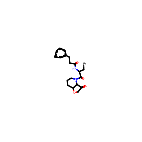 CC(C)CC(NC(=O)CCc1ccccc1)C(=O)N1CCCC2OCC(=O)C21